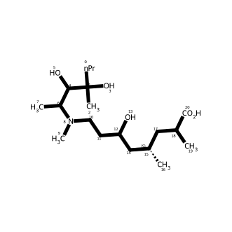 CCCC(C)(O)C(O)C(C)N(C)CCC(O)C[C@@H](C)CC(C)C(=O)O